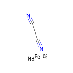 N#CC#N.[B].[Fe].[Nd]